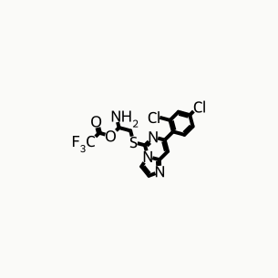 NC(CSc1nc(-c2ccc(Cl)cc2Cl)cc2nccn12)OC(=O)C(F)(F)F